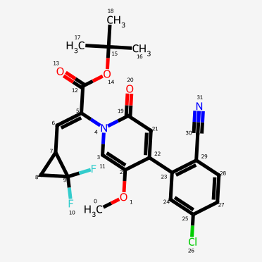 COc1cn(C(=CC2CC2(F)F)C(=O)OC(C)(C)C)c(=O)cc1-c1cc(Cl)ccc1C#N